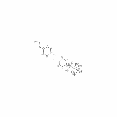 CCC[C@H]1CC[C@H](CC[C@H]2CC[C@H](C(F)(F)C(F)(F)C(F)(F)F)CC2)CC1